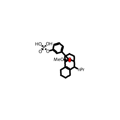 CCCC1C2=C(CCCC2)C2CCCC1C21OOC1(OC)c1cccc(OP(=O)(O)O)c1